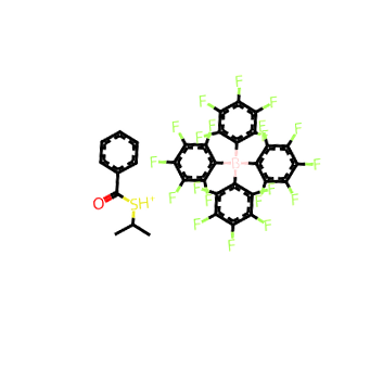 CC(C)[SH+]C(=O)c1ccccc1.Fc1c(F)c(F)c([B-](c2c(F)c(F)c(F)c(F)c2F)(c2c(F)c(F)c(F)c(F)c2F)c2c(F)c(F)c(F)c(F)c2F)c(F)c1F